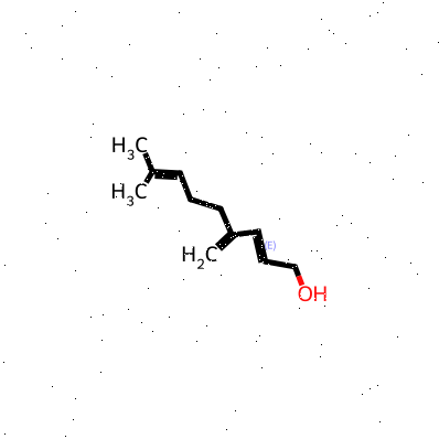 C=C(/C=C/CO)CCC=C(C)C